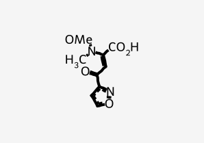 CON(C)C(=CC(=O)c1ccon1)C(=O)O